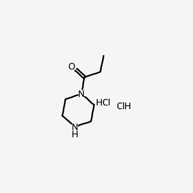 CCC(=O)N1CCNCC1.Cl.Cl